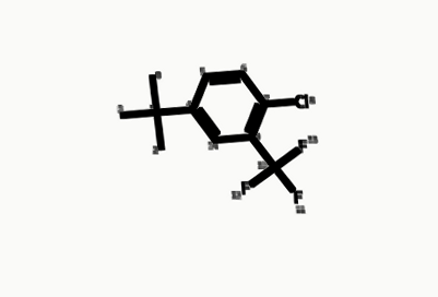 CC(C)(C)c1ccc(Cl)c(C(F)(F)F)c1